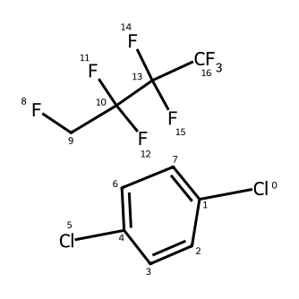 Clc1ccc(Cl)cc1.FCC(F)(F)C(F)(F)C(F)(F)F